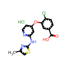 Cc1csc(Nc2cc(Oc3cc(C(=O)O)ccc3Cl)ccn2)n1.Cl